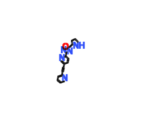 C(#Cc1ccccn1)c1ccc(-c2noc(C3CCCN3)n2)nc1